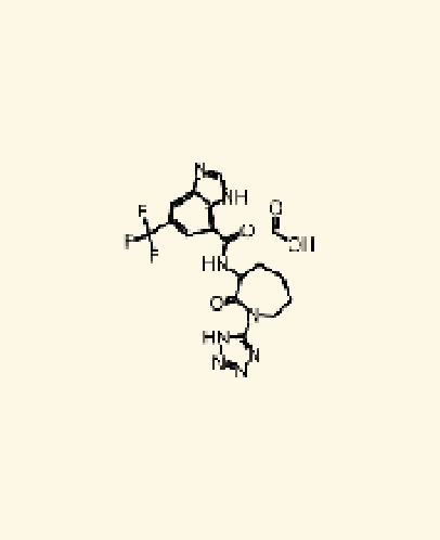 O=C(NC1CCCCN(c2nnn[nH]2)C1=O)c1cc(C(F)(F)F)cc2nc[nH]c12.O=CO